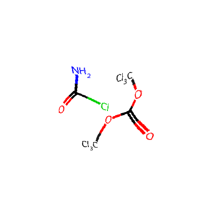 NC(=O)Cl.O=C(OC(Cl)(Cl)Cl)OC(Cl)(Cl)Cl